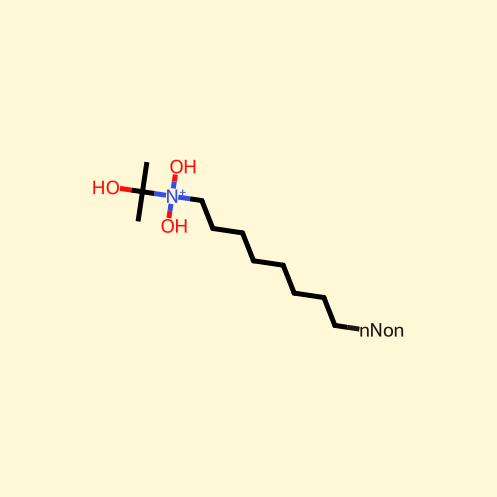 CCCCCCCCCCCCCCCCC[N+](O)(O)C(C)(C)O